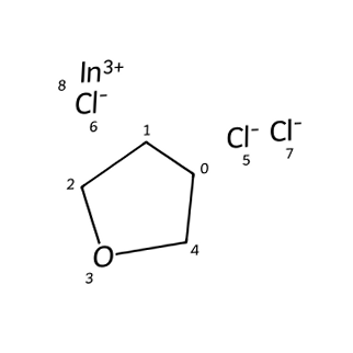 C1CCOC1.[Cl-].[Cl-].[Cl-].[In+3]